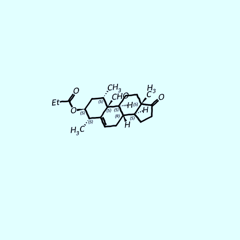 CCC(=O)O[C@H]1C[C@H](C)[C@@]2(C=O)C(=CC[C@@H]3[C@@H]2CC[C@]2(C)C(=O)CC[C@@H]32)[C@@H]1C